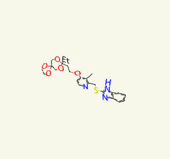 CCC1(CCOc2ccnc(CSc3nc4ccccc4[nH]3)c2C)OCC2(CO1)OCCO2